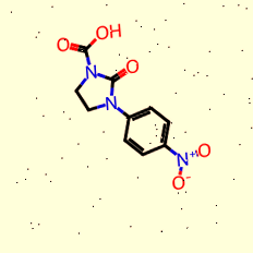 O=C(O)N1CCN(c2ccc([N+](=O)[O-])cc2)C1=O